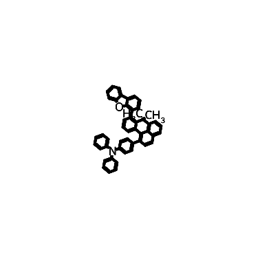 CC1(C)c2c(-c3cccc4c3oc3ccccc34)cccc2-c2c(-c3ccc(N(c4ccccc4)c4ccccc4)cc3)ccc3cccc1c23